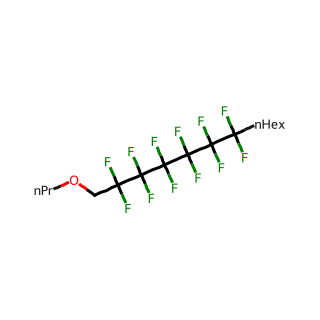 [CH2]CCOCC(F)(F)C(F)(F)C(F)(F)C(F)(F)C(F)(F)C(F)(F)CCCCCC